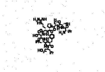 CC(C)C[C@H](NC(=O)[C@H](Cc1ccccc1)NC(=O)[C@H](CC(C)C)NC(=O)[C@@H](NC(=O)[C@H](CCCNC(=N)N)NC(=O)[C@@H]1CCCN1C(=O)[C@H](C)NC(=O)[C@H](CS)NC(=O)[C@@H](N)C(C)C)[C@@H](C)O)C(=O)O